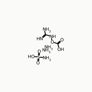 N.N.N=C(N)NOC(=O)O.NS(=O)(=O)O